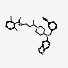 Cc1cccc(C)c1C(=O)NCCC(C)N1CCC(N(Cc2cccc(C#N)c2)c2ccc3occc3c2)CC1